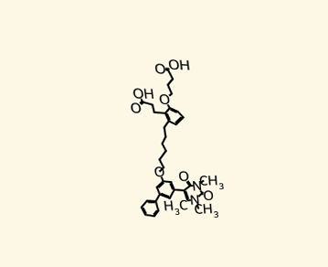 Cc1c(-c2cc(OCCCCCCc3cccc(OCCCC(=O)O)c3CCC(=O)O)cc(-c3ccccc3)c2)c(=O)n(C)c(=O)n1C